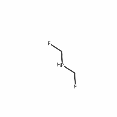 FCPCF